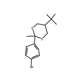 CC1(c2ccc(Br)cc2)SCC(C(C)(C)C)CS1